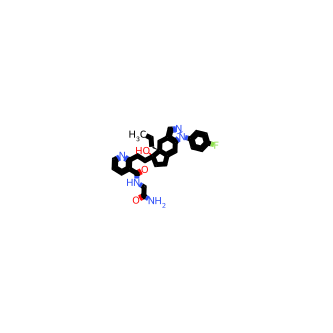 CCC[C@]12Cc3cnn(-c4ccc(F)cc4)c3C=C1CC[C@@]2(O)CCc1ncccc1C(=O)NCC(N)=O